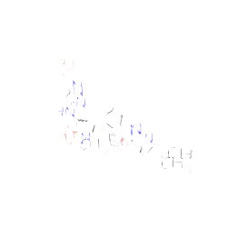 CCc1c(-c2cc(Nc3cc4n(n3)CCOC4)c(=O)n(C)c2)cccc1N1CCn2c(cc3c2CC(C)(C)C3)C1=O